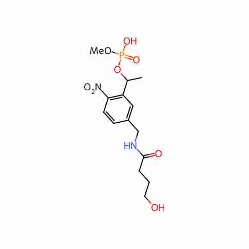 COP(=O)(O)OC(C)c1cc(CNC(=O)CCCO)ccc1[N+](=O)[O-]